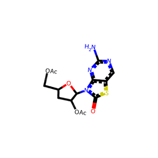 CC(=O)OCC1CC(OC(C)=O)C(n2c(=O)sc3cnc(N)nc32)O1